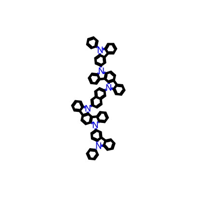 c1ccc(-n2c3ccccc3c3cc(-n4c5ccccc5c5c4ccc4c6ccccc6n(-c6ccc7cc(-n8c9ccccc9c9ccc%10c(c%11ccccc%11n%10-c%10ccc%11c(c%10)c%10ccccc%10n%11-c%10ccccc%10)c98)ccc7c6)c45)ccc32)cc1